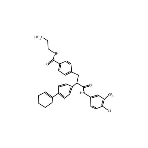 O=C(O)CCNC(=O)c1ccc(CC(C(=O)Nc2ccc(Cl)c(C(F)(F)F)c2)c2ccc(C3=CCCCC3)cc2)cc1